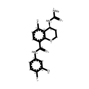 CNC(=O)N[C@H]1CCOc2c(C(=O)Nc3ccc(F)c(Cl)c3)ccc(F)c21